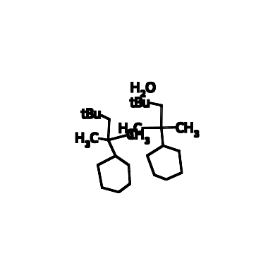 CC(C)(C)CC(C)(C)C1CCCCC1.CC(C)(C)CC(C)(C)C1CCCCC1.O